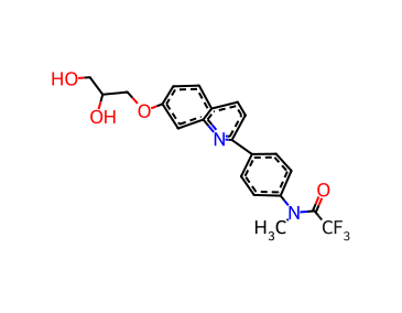 CN(C(=O)C(F)(F)F)c1ccc(-c2ccc3ccc(OCC(O)CO)cc3n2)cc1